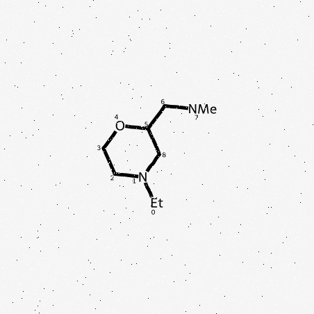 CCN1CCOC(CNC)C1